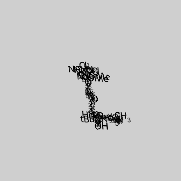 COc1cc(Nc2c(C#N)cnc3cc(OCCCN4CCN(C(=O)CCCCCCN[C@H](C(=O)N5C[C@H](O)C[C@H]5C(=O)NCc5ccc(-c6scnc6C)cc5)C(C)(C)C)CC4)c(OC)cc23)c(Cl)cc1Cl